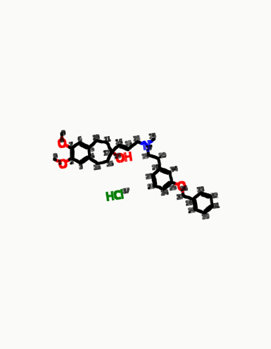 COc1cc2c(cc1OC)CCC(O)(C=CCN(C)CCc1cccc(OCc3ccccc3)c1)CC2.Cl